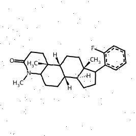 CN1C(=O)CC[C@@]2(C)C1CC[C@@H]1[C@H]2CC[C@]2(C)C(c3ccccc3F)CC[C@@H]12